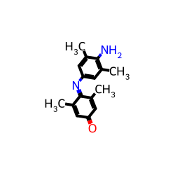 CC1=CC(=O)C=C(C)C1=Nc1cc(C)c(N)c(C)c1